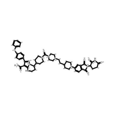 NC(=O)c1c(-c2ccc(Oc3ccccc3)cc2)nn2c1NCCC2C1CCN(C(=O)N2CCN(CCC3CCN(c4ccc5c(c4)C(=O)N(C4CCC(=O)NC4=O)C5=O)CC3)CC2)CC1